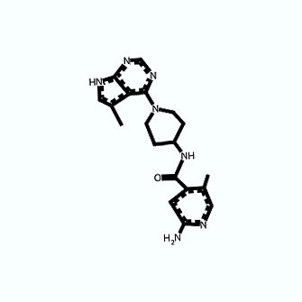 Cc1cnc(N)cc1C(=O)NC1CCN(c2ncnc3[nH]cc(C)c23)CC1